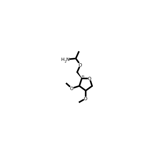 COC1CO[C@H](COC(C)N)C1OC